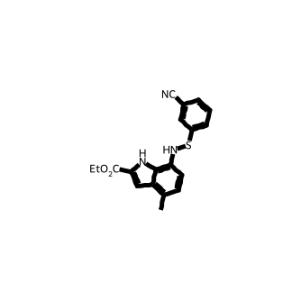 CCOC(=O)c1cc2c(C)ccc(NSc3cccc(C#N)c3)c2[nH]1